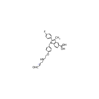 Cc1c(-c2ccc(F)cc2)n(Cc2ccc(OCCNC/C=C/C=O)cc2)c2ccc(B(O)O)cc12